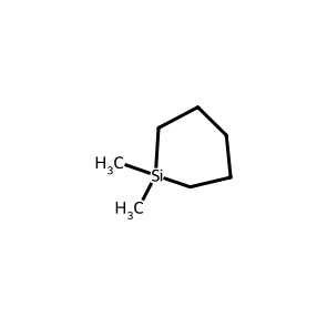 C[Si]1(C)CCCCC1